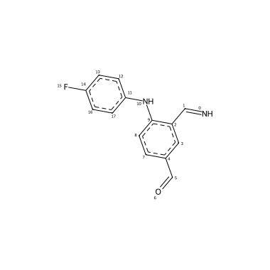 N=Cc1cc(C=O)ccc1Nc1ccc(F)cc1